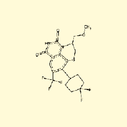 COCC1CSc2c(C3CCC(F)(F)CC3)c(C(F)(F)F)cc3c(=O)[nH]c(=O)n1c23